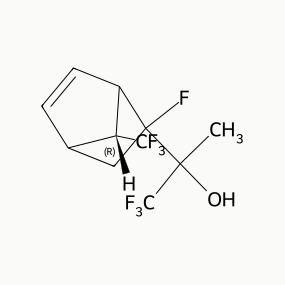 CC(O)(C(F)(F)F)C1(F)CC2C=CC1[C@@H]2C(F)(F)F